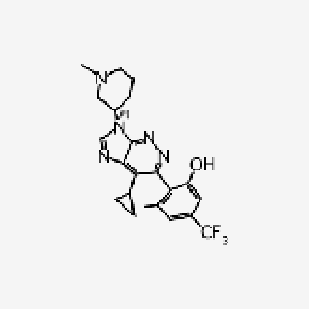 Cc1cc(C(F)(F)F)cc(O)c1-c1nnc2c(ncn2[C@@H]2CCCN(C)C2)c1C1CC1